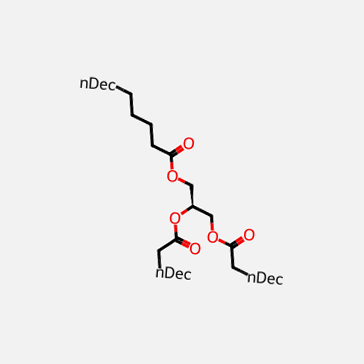 CCCCCCCCCCCCCCC(=O)OC[C@@H](COC(=O)CCCCCCCCCCC)OC(=O)CCCCCCCCCCC